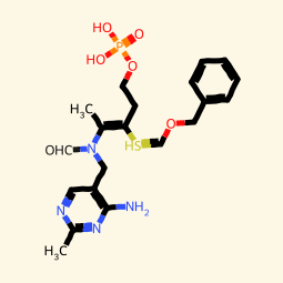 C/C(=C(CCOP(=O)(O)O)/[SH]=C\OCc1ccccc1)N(C=O)Cc1cnc(C)nc1N